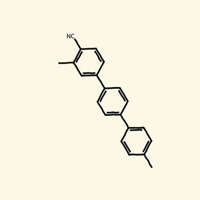 Cc1ccc(-c2ccc(-c3ccc(C#N)c(C)c3)cc2)cc1